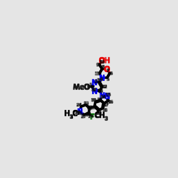 COc1nc(N2CCOC(CO)C2)cc(-n2ncc3cc(C)c([C@@H]4CCN(C)C[C@@H]4F)cc32)n1